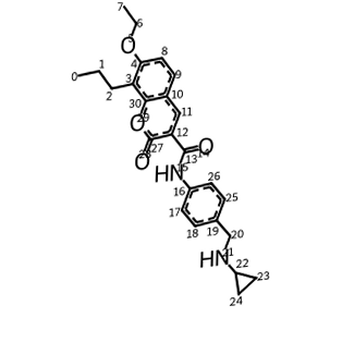 CCCc1c(OCC)ccc2cc(C(=O)Nc3ccc(CNC4CC4)cc3)c(=O)oc12